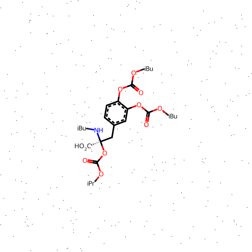 CCC(C)N[C@@](Cc1ccc(OC(=O)OC(C)CC)c(OC(=O)OC(C)CC)c1)(OC(=O)OC(C)C)C(=O)O